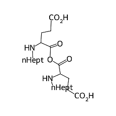 CCCCCCCNC(CCC(=O)O)C(=O)OC(=O)C(CCC(=O)O)NCCCCCCC